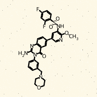 COc1ncc(-c2ccc3nc(N)n(-c4cccc(CN5CCOCC5)c4)c(=O)c3c2)cc1NS(=O)(=O)c1ccc(F)cc1F